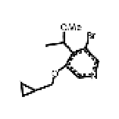 COC(C)c1c(Br)cncc1OCC1CC1